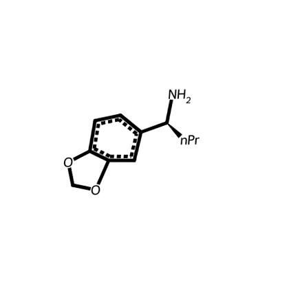 CCC[C@H](N)c1ccc2c(c1)OCO2